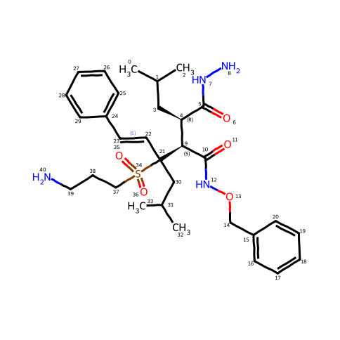 CC(C)C[C@@H](C(=O)NN)[C@@H](C(=O)NOCc1ccccc1)C(/C=C/c1ccccc1)(CC(C)C)S(=O)(=O)CCCN